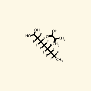 C=C(C)C(=O)O.CC(F)(F)C(F)(F)C(F)(F)C(F)(F)C(F)(F)C(F)(F)C(O)O